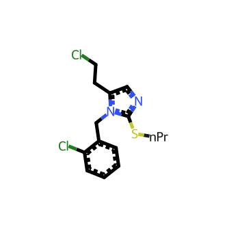 CCCSc1ncc(CCCl)n1Cc1ccccc1Cl